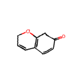 O=C1C=CC2=C(C1)OCC=C2